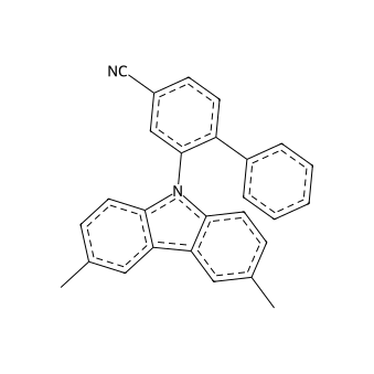 Cc1ccc2c(c1)c1cc(C)ccc1n2-c1cc(C#N)ccc1-c1ccccc1